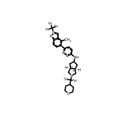 [2H]C([2H])(C1CCOCC1)N1C[C@H]2CC(Nc3ccc(-c4ccc5nn(C([2H])([2H])[2H])cc5c4C)nn3)C[C@H]2C1